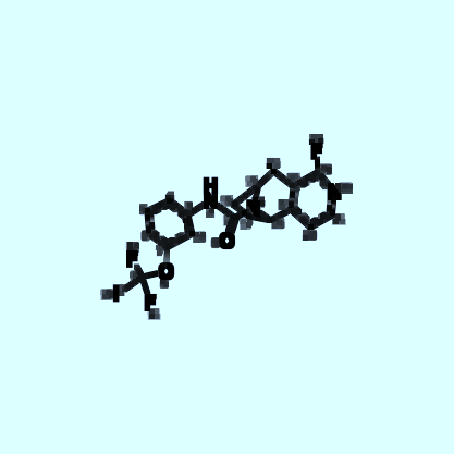 O=C(Nc1cccc(OC(F)(F)F)c1)N1C2CCC1c1ccnc(F)c1C2